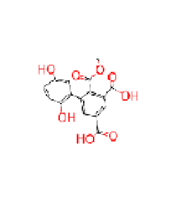 COC(=O)c1c(C(=O)O)cc(C(=O)O)cc1-c1cc(O)ccc1O